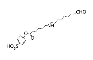 O=CCCCCCCCCNCCCCCC(=O)Oc1ccc(S(=O)(=O)O)cc1